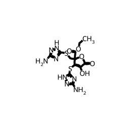 CCOC(=O)C1(CSc2nc(N)n[nH]2)OC(=O)C(O)=C1Sc1nc(N)n[nH]1